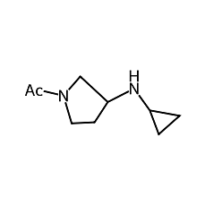 CC(=O)N1CCC(NC2CC2)C1